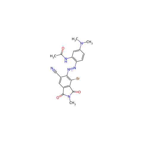 CC(=O)Nc1cc(N(C)C)ccc1/N=N/c1c(C#N)cc2c(c1Br)C(=O)N(C)C2=O